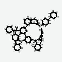 CC12c3ccc4c(c3)-c3cc(cc5c3-c3c(ccc6c7ccccc7n-4c36)C5(C)c3ccccc3)-c3cccc4ccc(cc34)N(c3ccc(-c4ccccc4)cc3)c3ccc1c(c3)-c1ccccc12